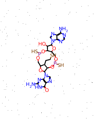 Nc1nc2c(ncn2C2OC3COP(S)OC4C(COP(S)OC2C3CCS)OC(n2cnc3c(N)ncnc32)C4O)c(=O)[nH]1